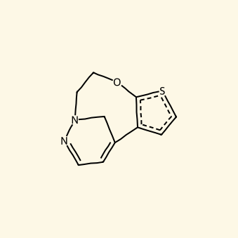 C1=NN2CCOc3sccc3C(=C1)C2